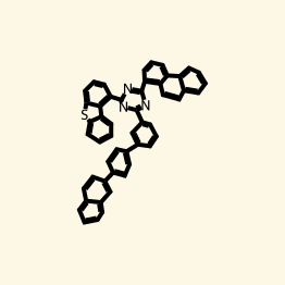 c1cc(-c2ccc(-c3ccc4ccccc4c3)cc2)cc(-c2nc(-c3cccc4c3ccc3ccccc34)nc(-c3cccc4sc5ccccc5c34)n2)c1